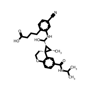 CC(C)NC(=O)c1ccc2c(c1)[C@@]1(CCO2)[C@H](C(O)Nc2cc(C#N)ccc2CCCC(=O)O)[C@@H]1C